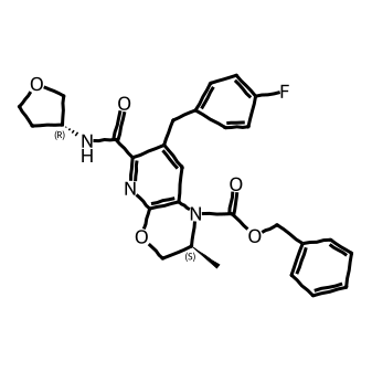 C[C@H]1COc2nc(C(=O)N[C@@H]3CCOC3)c(Cc3ccc(F)cc3)cc2N1C(=O)OCc1ccccc1